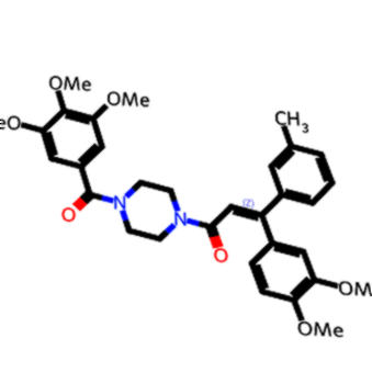 COc1ccc(/C(=C\C(=O)N2CCN(C(=O)c3cc(OC)c(OC)c(OC)c3)CC2)c2cccc(C)c2)cc1OC